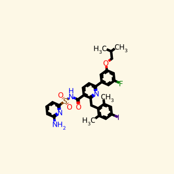 Cc1cc(I)cc(C)c1Cc1nc(-c2cc(F)cc(OCC(C)C)c2)ccc1C(=O)NS(=O)(=O)c1cccc(N)n1